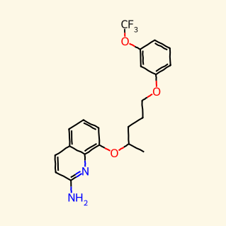 CC(CCCOc1cccc(OC(F)(F)F)c1)Oc1cccc2ccc(N)nc12